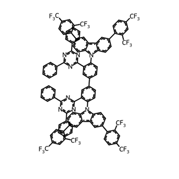 FC(F)(F)c1ccc(-c2ccc3c(c2)c2cc(-c4ccc(C(F)(F)F)cc4C(F)(F)F)ccc2n3-c2ccc(-c3ccc(-n4c5ccc(-c6ccc(C(F)(F)F)cc6C(F)(F)F)cc5c5cc(-c6ccc(C(F)(F)F)cc6C(F)(F)F)ccc54)c(-c4nc(-c5ccccc5)nc(-c5ccccc5)n4)c3)cc2-c2nc(-c3ccccc3)nc(-c3ccccc3)n2)c(C(F)(F)F)c1